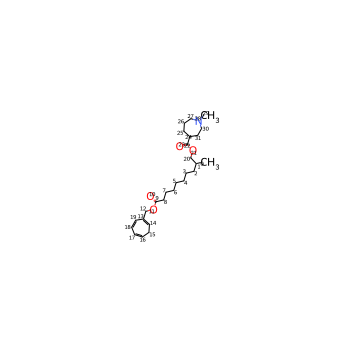 CC(CCCCCCCC(=O)OCC1=CCC=CC=C1)COC(=O)C1CCCN(C)CC1